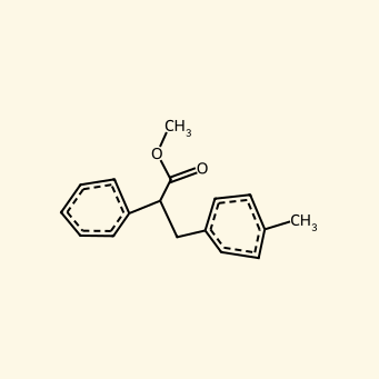 COC(=O)C(Cc1ccc(C)cc1)c1ccccc1